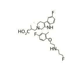 Cc1c(OCCNCCCF)ccc(F)c1[C@H]1c2[nH]c3ccc(F)cc3c2C[C@@H](C)N1CC(C)C(=O)O